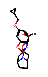 CC(=O)COC1CC2CCC(C1)N2c1nc2ccc(OCC3CC3)cc2o1